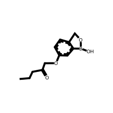 CCCC(=O)COc1ccc2c(c1)B(O)OC2